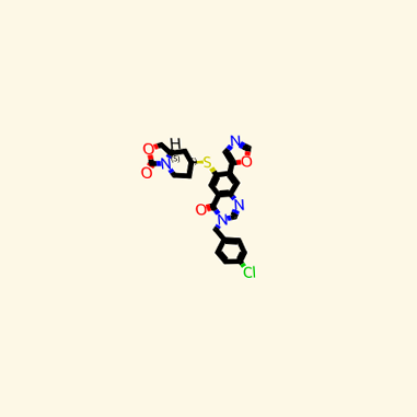 O=C1OC[C@@H]2C[C@@H](Sc3cc4c(=O)n(Cc5ccc(Cl)cc5)cnc4cc3-c3cnco3)CCN12